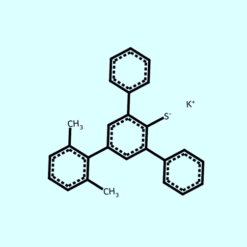 Cc1cccc(C)c1-c1cc(-c2ccccc2)c([S-])c(-c2ccccc2)c1.[K+]